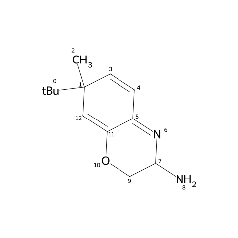 CC(C)(C)C1(C)C=CC2=NC(N)COC2=C1